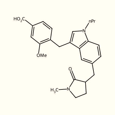 CCCn1cc(Cc2ccc(C(=O)O)cc2OC)c2cc(CC3CCN(C)C3=O)ccc21